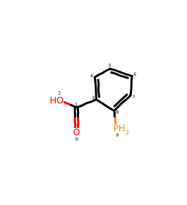 O=C(O)c1ccccc1P